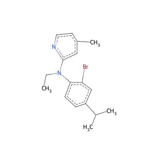 CCN(c1cc(C)ccn1)c1ccc(C(C)C)cc1Br